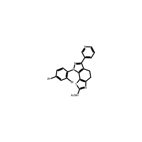 CC(=O)Nc1nc2c(s1)-c1c(c(-c3cccnc3)nn1-c1ccc(C(C)C)cc1Br)CC2